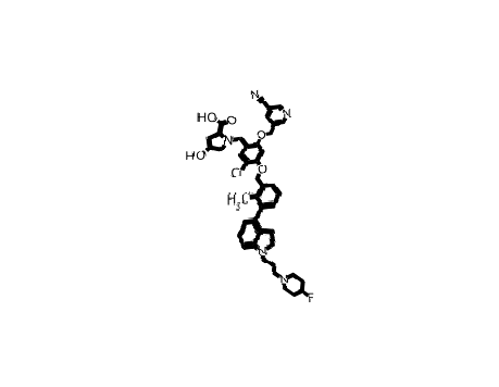 Cc1c(COc2cc(OCc3cncc(C#N)c3)c(CN3CC(O)CC3C(=O)O)cc2Cl)cccc1-c1cccc2c1CCN2CCCN1CCC(F)CC1